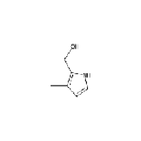 Cc1cc[nH]c1CO